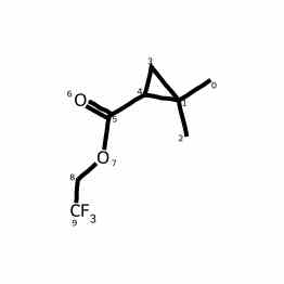 CC1(C)CC1C(=O)OCC(F)(F)F